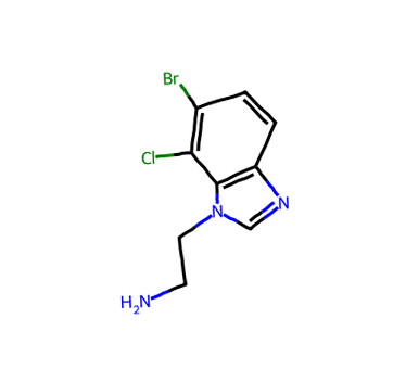 NCCn1cnc2ccc(Br)c(Cl)c21